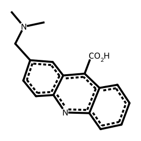 CN(C)Cc1ccc2nc3ccccc3c(C(=O)O)c2c1